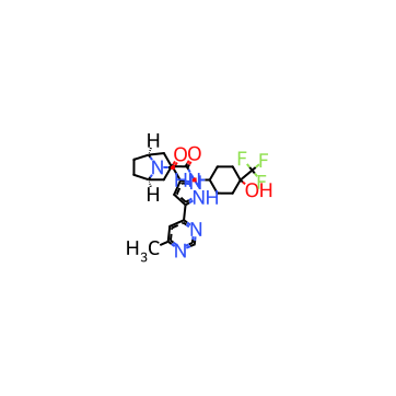 Cc1cc(-c2cc(C(=O)N3[C@@H]4CC[C@H]3CC(C(=O)NC3CCC(O)(C(F)(F)F)CC3)C4)n[nH]2)ncn1